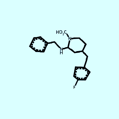 O=C(O)N1CCC(Cc2ccc(F)cc2)CC1NCc1ccccc1